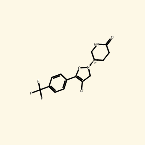 O=C1CC[C@@H](N2CC(Cl)=C(c3ccc(C(F)(F)F)cc3)O2)CN1